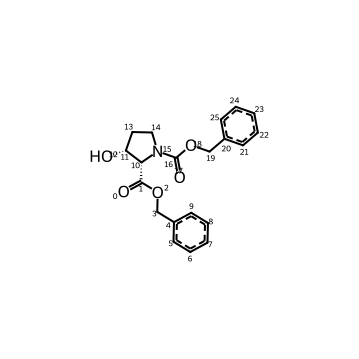 O=C(OCc1ccccc1)[C@@H]1[C@H](O)CCN1C(=O)OCc1ccccc1